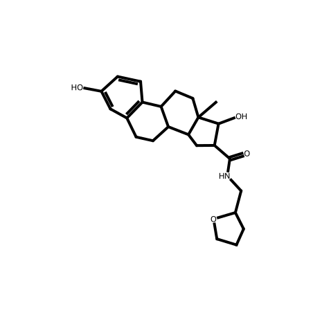 CC12CCC3c4ccc(O)cc4CCC3C1CC(C(=O)NCC1CCCO1)C2O